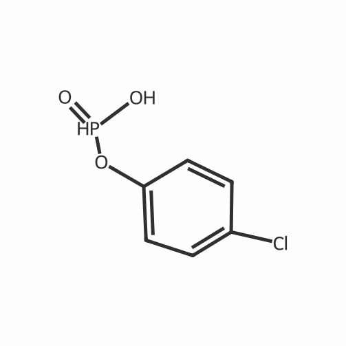 O=[PH](O)Oc1ccc(Cl)cc1